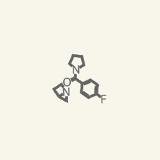 C1CN2CC12.O=C(c1ccc(F)cc1)N1CCCC1